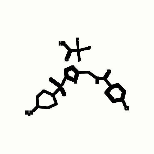 NC1CCN(S(=O)(=O)c2ccc(CNC(=O)c3ccc(Cl)cc3)s2)CC1.O=C(O)C(F)(F)F